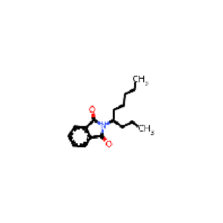 CCCCCC(CCC)N1C(=O)c2ccccc2C1=O